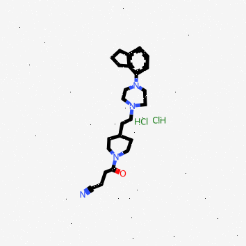 Cl.Cl.N#CCCC(=O)N1CCC(CCN2CCN(c3cccc4c3CCC4)CC2)CC1